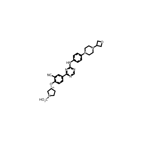 N#Cc1cc(-c2ncnc(Nc3ccc(N4CCN(C5COC5)CC4)cc3)n2)ccc1O[C@@H]1CCN(C(=O)O)C1